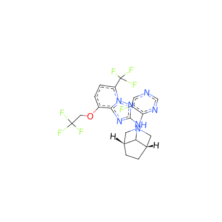 Fc1cncnc1N1C[C@H]2CC[C@@H](C1)C2Nc1nc2c(OCC(F)(F)F)ccc(C(F)(F)F)n2n1